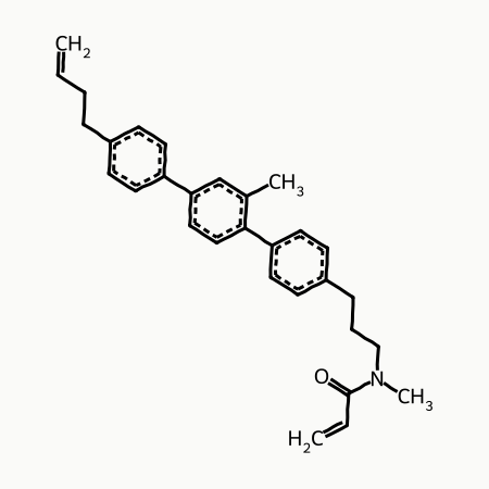 C=CCCc1ccc(-c2ccc(-c3ccc(CCCN(C)C(=O)C=C)cc3)c(C)c2)cc1